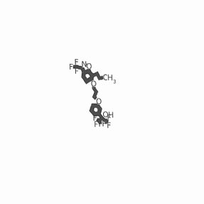 CCCc1c(OCCCOc2cccc(C(O)(C(F)(F)F)C(F)(F)F)c2)ccc2c(C(F)(F)F)noc12